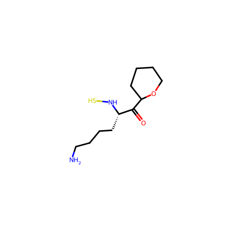 NCCCC[C@H](NS)C(=O)C1CCCCO1